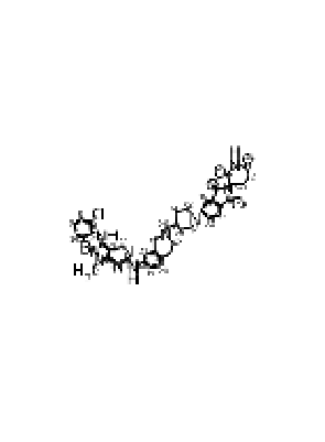 Cn1nc(Nc2c(Cl)cccc2Br)c2cnc(Nc3ccc4c(c3)CN(CC3CCN(c5ccc6c(c5)C(=O)N(C5CCC(=O)NC5=O)C6=O)CC3)CC4)nc21